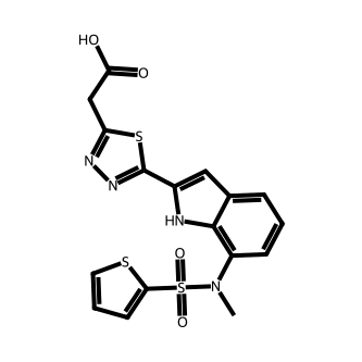 CN(c1cccc2cc(-c3nnc(CC(=O)O)s3)[nH]c12)S(=O)(=O)c1cccs1